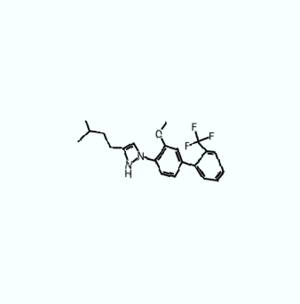 COc1cc(-c2ccccc2C(F)(F)F)ccc1-n1cc(CCC(C)C)[nH]1